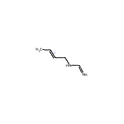 C/C=C/CNC=N